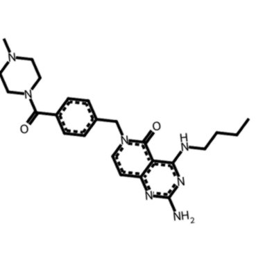 CCCCNc1nc(N)nc2ccn(Cc3ccc(C(=O)N4CCN(C)CC4)cc3)c(=O)c12